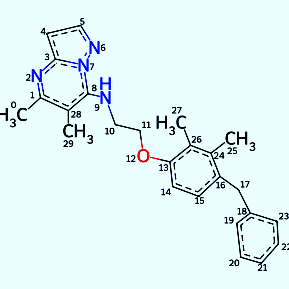 Cc1nc2ccnn2c(NCCOc2ccc(Cc3ccccc3)c(C)c2C)c1C